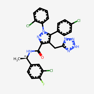 C[C@@H](NC(=O)c1nn(-c2ccccc2Cl)c(-c2ccc(Cl)cc2)c1Cc1nn[nH]n1)c1ccc(F)c(Cl)c1